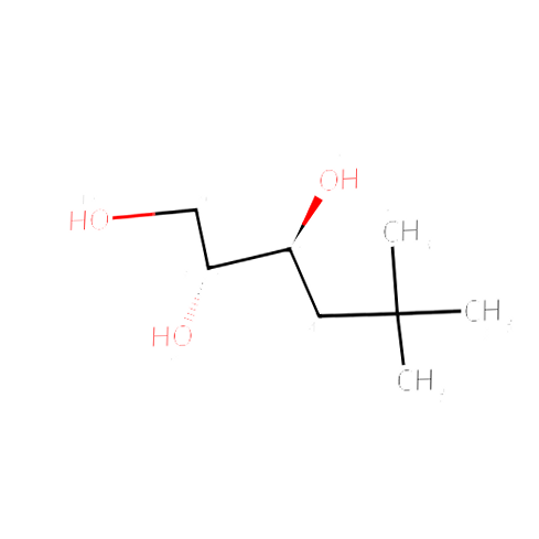 CC(C)(C)C[C@H](O)[C@H](O)CO